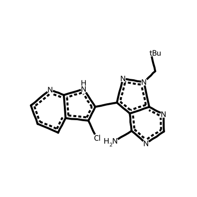 CC(C)(C)Cn1nc(-c2[nH]c3ncccc3c2Cl)c2c(N)ncnc21